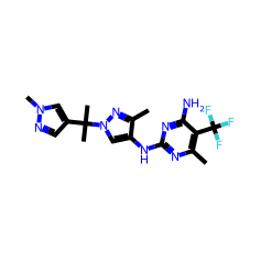 Cc1nn(C(C)(C)c2cnn(C)c2)cc1Nc1nc(C)c(C(F)(F)F)c(N)n1